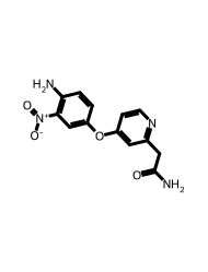 NC(=O)Cc1cc(Oc2ccc(N)c([N+](=O)[O-])c2)ccn1